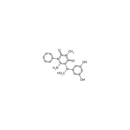 Cn1c(=O)c(N(C(=O)O)c2cc(O)cc(O)c2)c(N)n(-c2ccccc2)c1=O